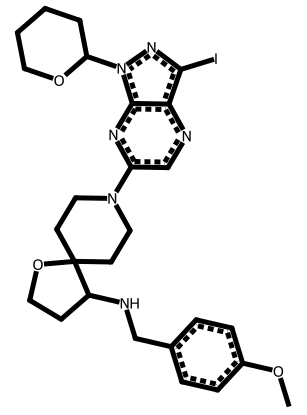 COc1ccc(CNC2CCOC23CCN(c2cnc4c(I)nn(C5CCCCO5)c4n2)CC3)cc1